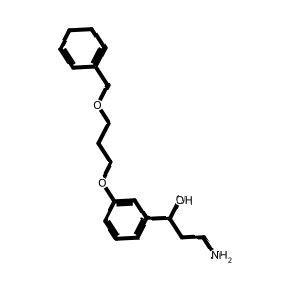 NCCC(O)c1cccc(OCCCOCC2=CCCC=C2)c1